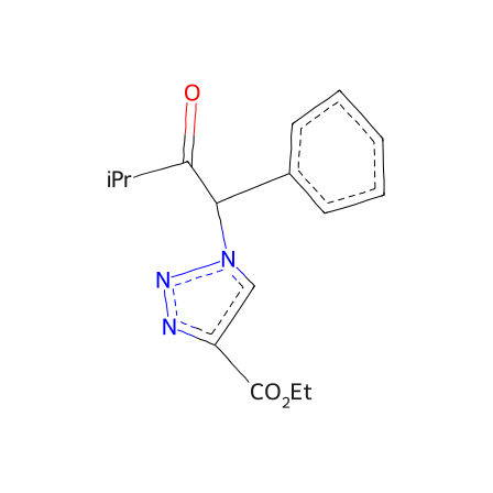 CCOC(=O)c1cn(C(C(=O)C(C)C)c2ccccc2)nn1